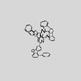 c1ccc(-c2ccc(-c3nc(-c4ccc5c(c4)oc4cccc(-c6ccccc6)c45)nc(-n4c5ccccc5c5ccc6c7ccccc7n(-c7cccc(-c8ccccc8)c7)c6c54)n3)cc2)cc1